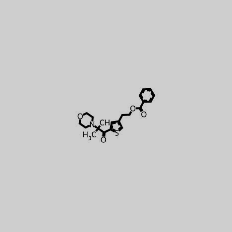 CC(C)(C(=O)c1cc(CCOC(=O)c2ccccc2)cs1)N1CCOCC1